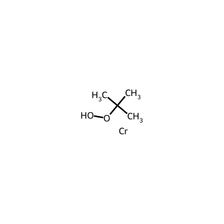 CC(C)(C)OO.[Cr]